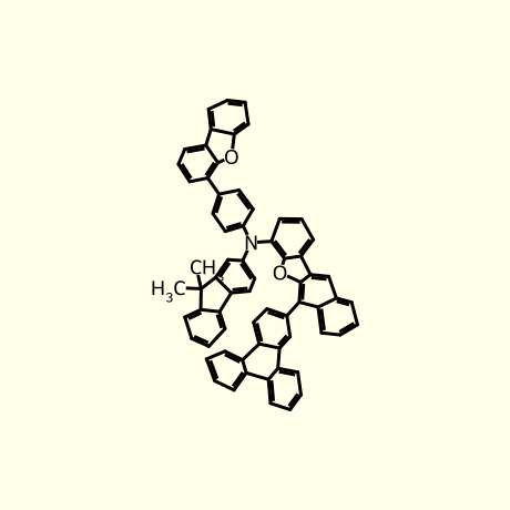 CC1(C)c2ccccc2-c2ccc(N(c3ccc(-c4cccc5c4oc4ccccc45)cc3)c3cccc4c3oc3c(-c5ccc6c7ccccc7c7ccccc7c6c5)c5ccccc5cc34)cc21